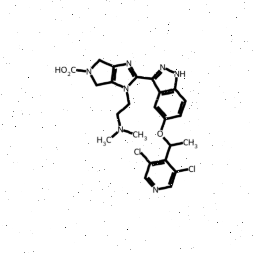 CC(Oc1ccc2[nH]nc(-c3nc4c(n3CCN(C)C)CN(C(=O)O)C4)c2c1)c1c(Cl)cncc1Cl